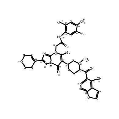 CCc1c(N2CCN(C(=O)c3ncc4occc4c3O)[C@H](C)C2)c(=O)n2nc(C3=CCOCC3)nc2n1CC(=O)Nc1cc(F)c(C(F)(F)F)cc1Cl